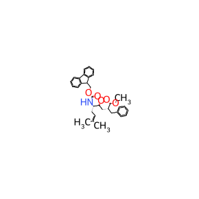 COC(=O)[C@@H](CC(=O)[C@H](CC=C(C)C)NC(=O)OCC1c2ccccc2-c2ccccc21)Cc1ccccc1